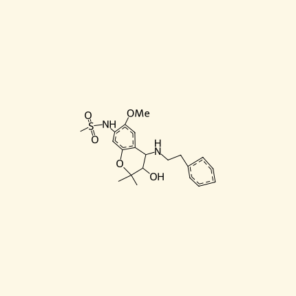 COc1cc2c(cc1NS(C)(=O)=O)OC(C)(C)C(O)C2NCCc1ccccc1